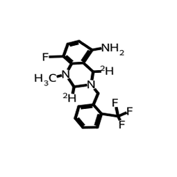 [2H]C1c2c(N)ccc(F)c2N(C)C([2H])N1Cc1ccccc1C(F)(F)F